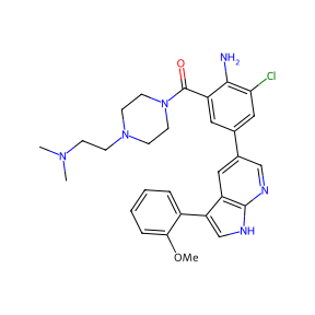 COc1ccccc1-c1c[nH]c2ncc(-c3cc(Cl)c(N)c(C(=O)N4CCN(CCN(C)C)CC4)c3)cc12